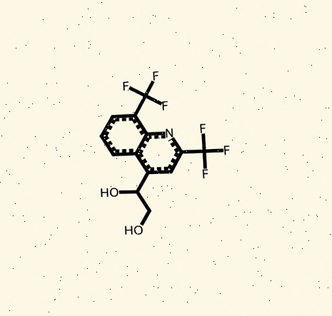 OCC(O)c1cc(C(F)(F)F)nc2c(C(F)(F)F)cccc12